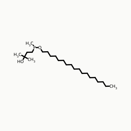 CCCCCCCCCCCCCCCCCCOP(C)CCC(C)(C)O